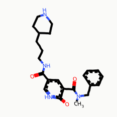 CN(Cc1ccccc1)C(=O)c1cc(C(=O)NCCCC2CCNCC2)c[nH]c1=O